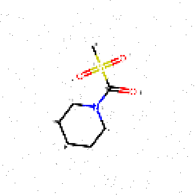 CS(=O)(=O)C(=O)N1CCCCC1